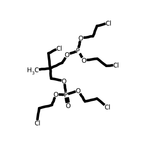 CC(CCl)(COP(OCCCl)OCCCl)COP(=O)(OCCCl)OCCCl